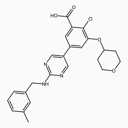 Cc1cccc(CNc2ncc(-c3cc(OC4CCOCC4)c(Cl)c(C(=O)O)c3)cn2)c1